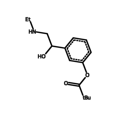 CCNCC(O)c1cccc(OC(=O)C(C)(C)C)c1